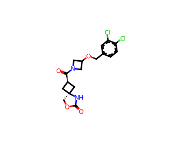 O=C1N[C@]2(CO1)C[C@H](C(=O)N1CC(OCc3ccc(Cl)c(Cl)c3)C1)C2